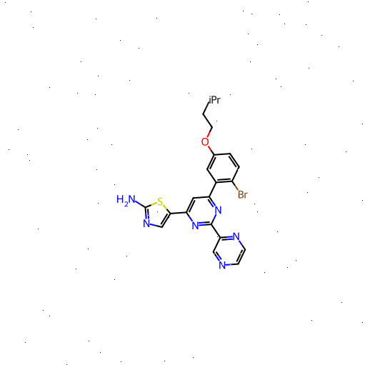 CC(C)CCOc1ccc(Br)c(-c2cc(-c3cnc(N)s3)nc(-c3cnccn3)n2)c1